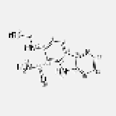 CC(C)(C)CNc1ccc2c([nH]c3ccccc32)c1C(N)=O